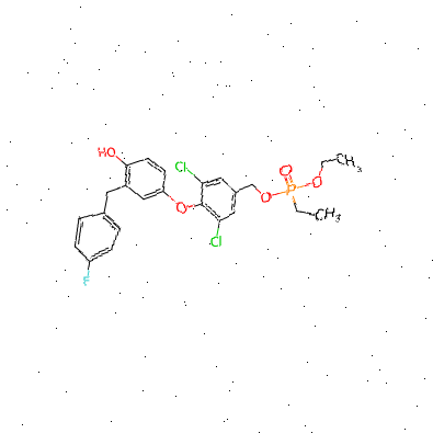 CCOP(=O)(CC)OCc1cc(Cl)c(Oc2ccc(O)c(Cc3ccc(F)cc3)c2)c(Cl)c1